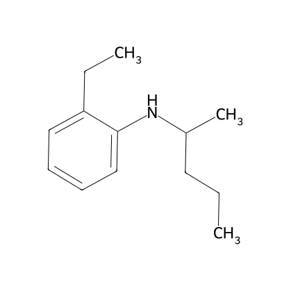 CCCC(C)Nc1ccccc1CC